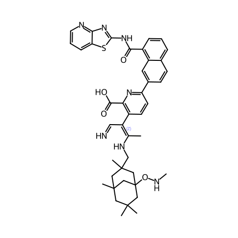 CNOC12CC(C)(C)CC(C)(CC(C)(CN/C(C)=C(\C=N)c3ccc(-c4ccc5cccc(C(=O)Nc6nc7ncccc7s6)c5c4)nc3C(=O)O)C1)C2